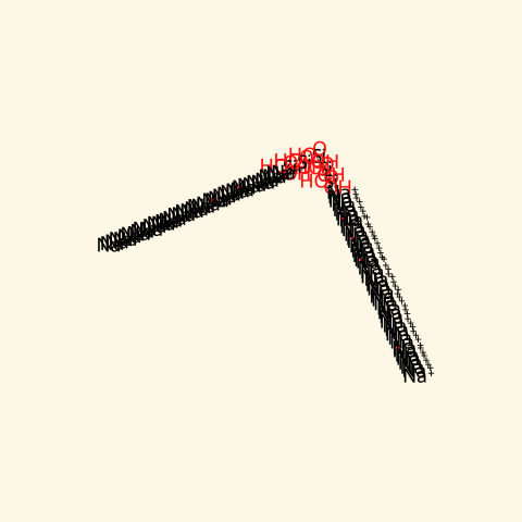 O=[Si](O)O.O=[Si](O)O.O=[Si](O)O.O=[Si](O)O.O=[Si](O)O.[Na+].[Na+].[Na+].[Na+].[Na+].[Na+].[Na+].[Na+].[Na+].[Na+].[Na+].[Na+].[Na+].[Na+].[Na+].[Na+].[Na+].[Na+].[Na+].[Na+].[Na+].[Na+].[Na+].[Na+].[Na+].[Na+].[Na+].[Na+].[Na+].[Na+].[Na+].[Na+].[Na+].[Na+].[Na+].[Na+].[Na+].[Na+].[Na+].[Na+].[Na+].[Na+].[Na+].[Na+].[Na+].[Na+].[Na+].[Na+].[Na+].[Na+].[Na+].[Na+].[Na+].[Na+].[Na+].[Na+].[Na+].[Na+].[Na+].[Na+].[Na+].[Na+].[Na+].[Na+].[Na+].[Na+].[Na+].[Na+].[Na+].[Na+].[Na+].[Na+].[Na+].[Na+].[Na+].[Na+].[Na+].[Na+].[Na+].[Na+].[Na+].[Na+].[Na+].[Na+].[Na+].[Na+].[Na+].[Na+]